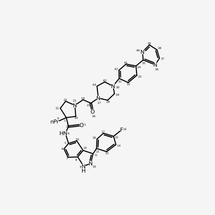 CCCC1(C(=O)Nc2ccc3[nH]nc(-c4ccc(F)cc4)c3c2)CCN(CC(=O)N2CCN(c3ccc(-c4ncccn4)cc3)CC2)C1